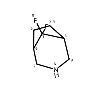 FC1(F)C2CCC1CNC2